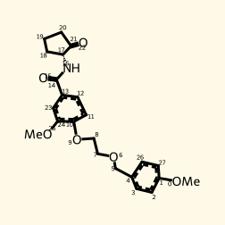 COc1ccc(COCCOc2ccc(C(=O)N[C@@H]3CCCC3=O)cc2OC)cc1